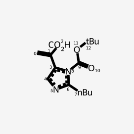 C=C(C(=O)O)c1cnc(CCCC)n1C(=O)OC(C)(C)C